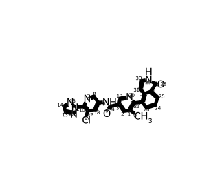 Cc1cc(C(=O)Nc2cnc(-n3nccn3)c(Cl)c2)cnc1-c1cccc2c(=O)[nH]ccc12